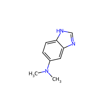 CN(C)c1ccc2[nH]cnc2c1